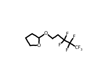 FC(F)(F)C(F)(F)C(F)(F)CCOC1CCCO1